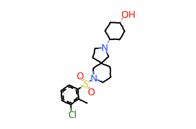 Cc1c(Cl)cccc1S(=O)(=O)N1CCCC2(CCN([C@H]3CC[C@@H](O)CC3)C2)C1